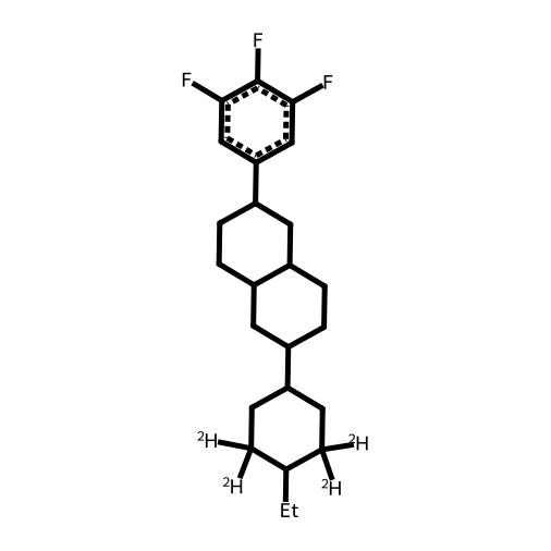 [2H]C1([2H])CC(C2CCC3CC(c4cc(F)c(F)c(F)c4)CCC3C2)CC([2H])([2H])C1CC